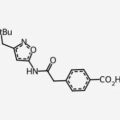 CC(C)(C)Cc1cc(NC(=O)Cc2ccc(C(=O)O)cc2)on1